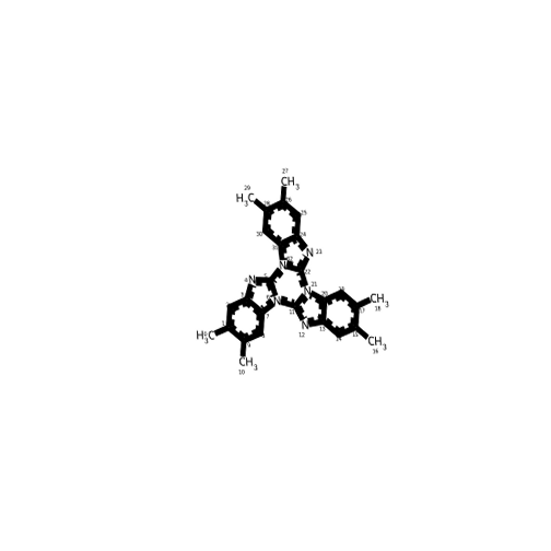 Cc1cc2nc3n(c2cc1C)c1nc2cc(C)c(C)cc2n1c1nc2cc(C)c(C)cc2n31